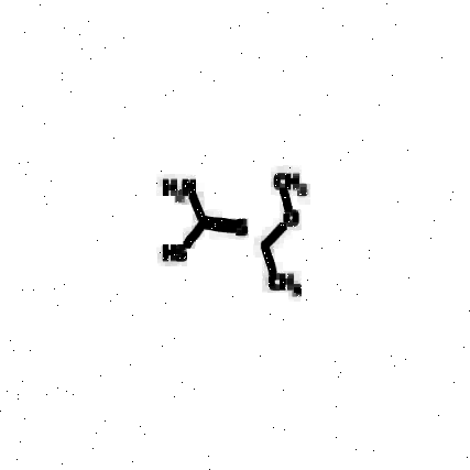 CCOC.NC(=S)S